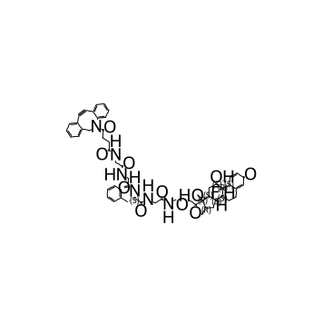 C[C@@H]1C[C@H]2[C@@H]3CCC4=CC(=O)C=C[C@]4(C)[C@@]3(F)[C@@H](O)C[C@]2(C)[C@@]1(O)C(=O)COCNC(=O)CNC(=O)[C@H](Cc1ccccc1)NC(=O)CNC(=O)CNC(=O)CCC(=O)N1Cc2ccccc2C#Cc2ccccc21